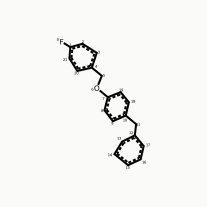 Fc1ccc(COc2ccc(Cc3ccccc3)cc2)cc1